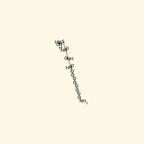 NCCOCCOCCOCCOCCOCCOCCOCCOCCNC(=O)CCCCCNC(=O)CCCCCNC(=O)CCCCC1SCC2NC(=O)NC21